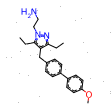 CCc1nn(CCN)c(CC)c1Cc1ccc(-c2ccc(OC)cc2)cc1